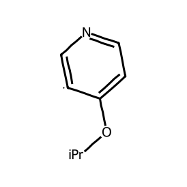 CC(C)Oc1[c]cncc1